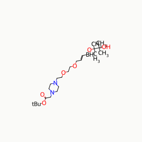 CC(C)(C)OC(=O)CN1CCN(CCOCCOC/C=C/BOC(C)(C)C(C)(C)O)CC1